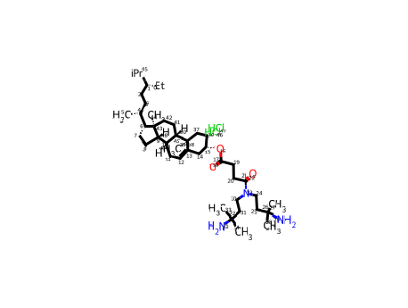 CC[C@H](CC[C@@H](C)[C@H]1CC[C@H]2[C@@H]3CC=C4C[C@@H](OC(=O)CCC(=O)N(CCC(C)(C)N)CCC(C)(C)N)CC[C@]4(C)[C@H]3CC[C@]12C)C(C)C.Cl.Cl